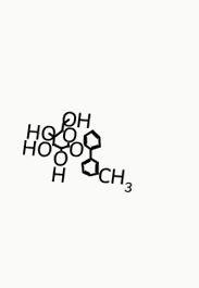 Cc1cccc(-c2ccccc2OC2OC(CO)C(O)C(O)C2O)c1